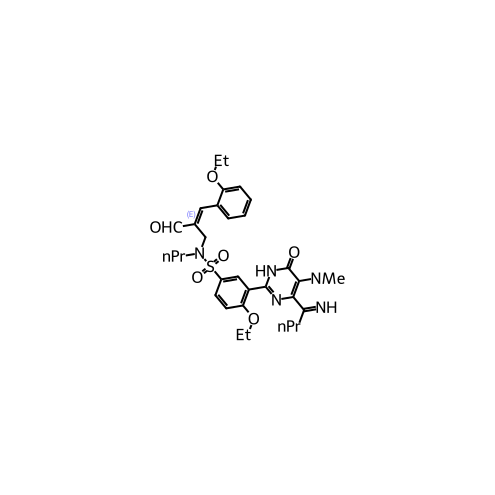 CCCC(=N)c1nc(-c2cc(S(=O)(=O)N(CCC)C/C(C=O)=C\c3ccccc3OCC)ccc2OCC)[nH]c(=O)c1NC